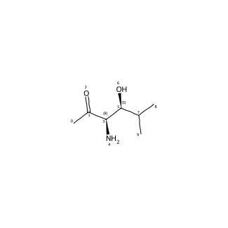 CC(=O)[C@H](N)[C@@H](O)C(C)C